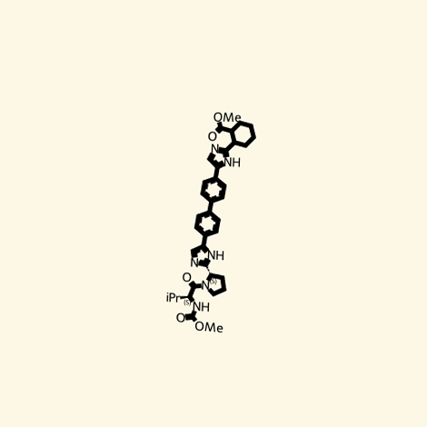 COC(=O)N[C@H](C(=O)N1CCC[C@H]1c1ncc(-c2ccc(-c3ccc(-c4cnc(C5CCCCC5C(=O)OC)[nH]4)cc3)cc2)[nH]1)C(C)C